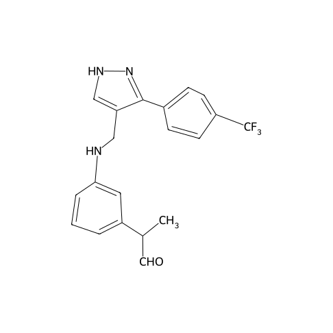 CC(C=O)c1cccc(NCc2c[nH]nc2-c2ccc(C(F)(F)F)cc2)c1